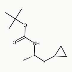 C[C@@H]([CH]C1CC1)NC(=O)OC(C)(C)C